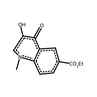 CCOC(=O)c1ccc2c(c1)c(=O)c(O)cn2C